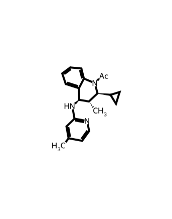 CC(=O)N1c2ccccc2[C@H](Nc2cc(C)ccn2)[C@@H](C)[C@@H]1C1CC1